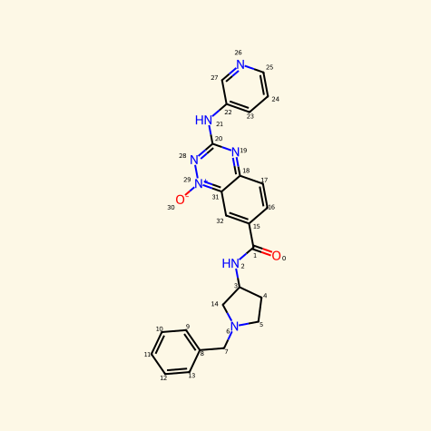 O=C(NC1CCN(Cc2ccccc2)C1)c1ccc2nc(Nc3cccnc3)n[n+]([O-])c2c1